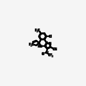 C=CC1(CC(F)(F)F)Nc2c([S+]([O-])C(F)(F)F)c(C#N)nn2-c2c(Cl)cc(C(F)(F)F)cc21